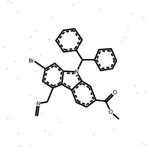 C=NCc1cc(Br)cc2c1c1ccc(C(=O)OC)cc1n2C(c1ccccc1)c1ccccc1